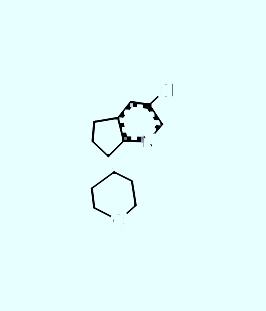 Clc1cnc2c(c1)CC[C@H]2C1CCOCC1